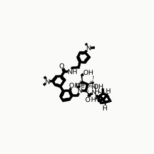 COc1c(CN2O[C@@H](CO)[C@@H]([C@H](C)O)[C@H]2C(=O)N[C@H]2C[C@H]3C[C@@H]([C@@H]2C)C3(C)C)cccc1-c1cc(C(=O)NCCc2ccc(N(C)C)cc2)cc(N(C)C)c1